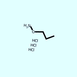 CCCO[SiH3].Cl.Cl.Cl